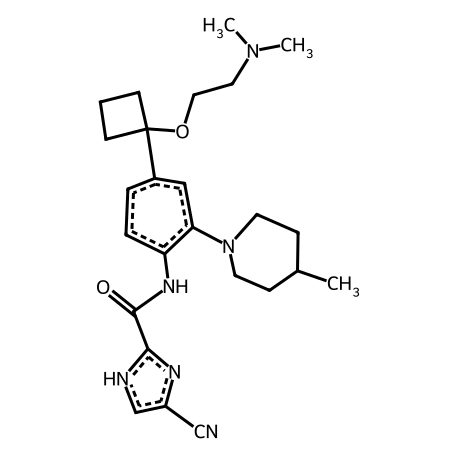 CC1CCN(c2cc(C3(OCCN(C)C)CCC3)ccc2NC(=O)c2nc(C#N)c[nH]2)CC1